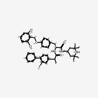 CC(C(=O)N[C@@H](Cc1ccc(OCc2c(Cl)cccc2Cl)cc1)C(=O)NC1CC(C)(C)NC(C)(C)C1)c1ccc(-c2ccccc2)c(F)c1